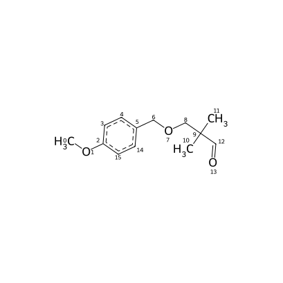 COc1ccc(COCC(C)(C)C=O)cc1